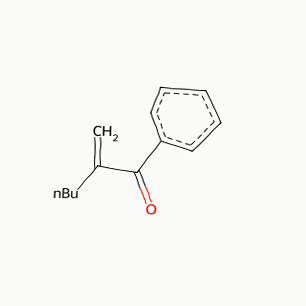 C=C(CCCC)C(=O)c1ccccc1